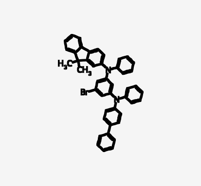 CC1(C)c2ccccc2-c2ccc(N(c3ccccc3)c3cc(Br)cc(N(c4ccccc4)c4ccc(-c5ccccc5)cc4)c3)cc21